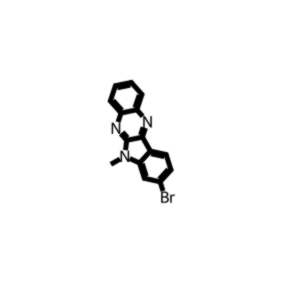 Cn1c2cc(Br)ccc2c2nc3ccccc3nc21